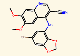 COc1cc2ncc(C#N)c(Nc3cc(Br)cc4c3OCO4)c2cc1OC